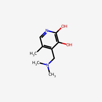 Cc1cnc(O)c(O)c1CN(C)C